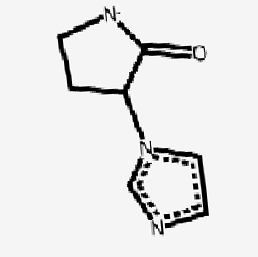 O=C1[N]CCC1n1ccnc1